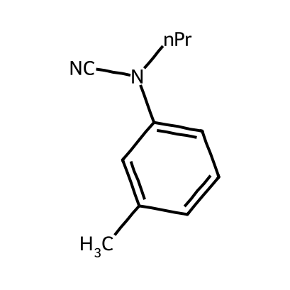 CCCN(C#N)c1cccc(C)c1